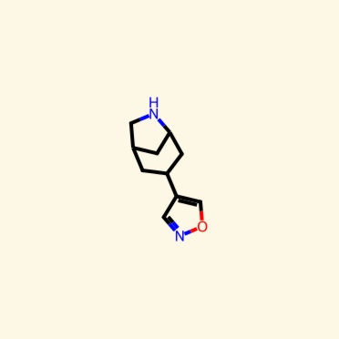 c1nocc1C1CC2CNC(C2)C1